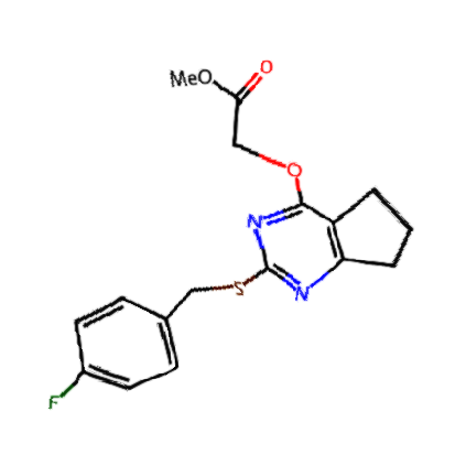 COC(=O)COc1nc(SCc2ccc(F)cc2)nc2c1CCC2